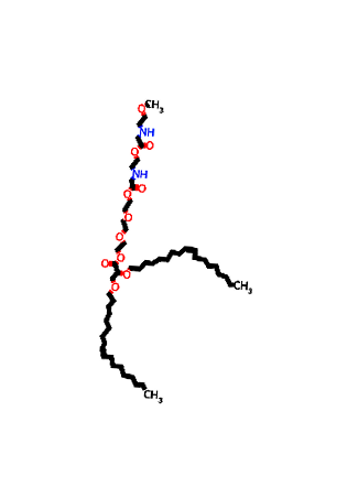 CCCCCCCC/C=C\CCCCCCCCOCC(OCCCCCCCC/C=C\CCCCCCCC)C(=O)OCCOCCOCCOC(=O)CNCCOC(=O)CNCCOC